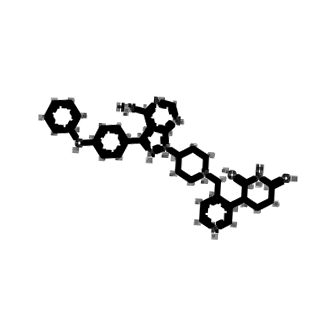 Nc1ncnc2c1c(-c1ccc(Oc3ccccc3)cc1)nn2C1CCN(Cc2ccncc2C2CCC(=O)NC2=O)CC1